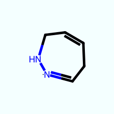 C1=CCN[N+]=CC1